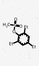 CCc1cc(CC)c(OS(C)(=O)=O)c(CC)c1